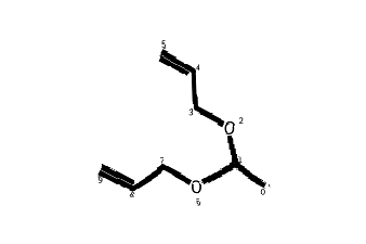 [CH2]C(OCC=C)OCC=C